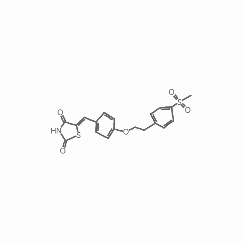 CS(=O)(=O)c1ccc(CCOc2ccc(/C=C3\SC(=O)NC3=O)cc2)cc1